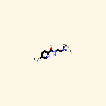 [CH2]c1ccc(C(=O)NCCN(C)C)nc1